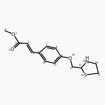 COC(=O)/C=C/c1ccc(OCC2NCCS2)cc1